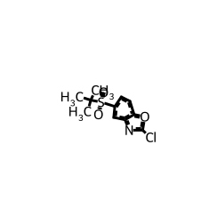 CC(C)(C)S(=O)(=O)c1ccc2oc(Cl)nc2c1